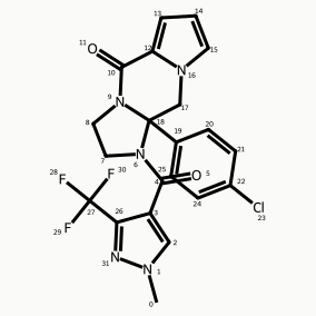 Cn1cc(C(=O)N2CCN3C(=O)c4cccn4CC23c2ccc(Cl)cc2)c(C(F)(F)F)n1